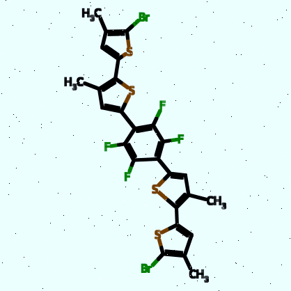 Cc1cc(-c2sc(-c3c(F)c(F)c(-c4cc(C)c(-c5cc(C)c(Br)s5)s4)c(F)c3F)cc2C)sc1Br